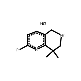 CC(C)c1ccc2c(n1)C(C)(C)CNC2.Cl